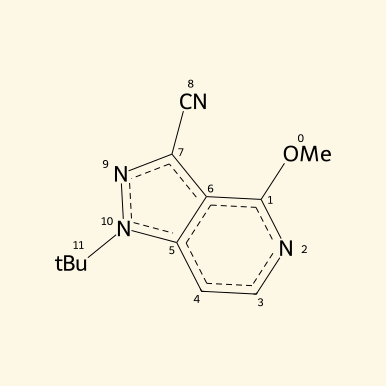 COc1nccc2c1c(C#N)nn2C(C)(C)C